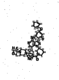 CC(C)(C=C(C#N)C(=O)N1CCCC(n2nc(-c3ccc(Oc4ccccc4)cc3F)c3c(N)nccc32)C1)N1CCN(C2(C)COC2)CC1